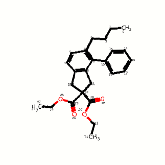 CCCCc1ccc2c(c1-c1ccccc1)CC(C(=O)OCC)(C(=O)OCC)C2